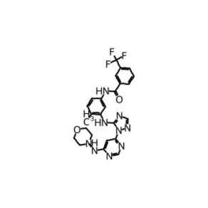 Cc1ccc(NC(=O)c2cccc(C(F)(F)F)c2)cc1Nc1ncnn1-c1cc(NN2CCOCC2)ncn1